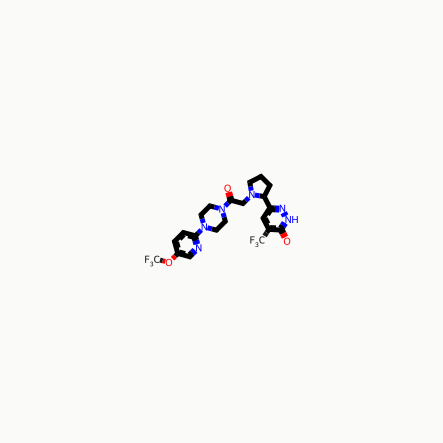 O=C(CN1CCCC1c1cc(C(F)(F)F)c(=O)[nH]n1)N1CCN(c2ccc(OC(F)(F)F)cn2)CC1